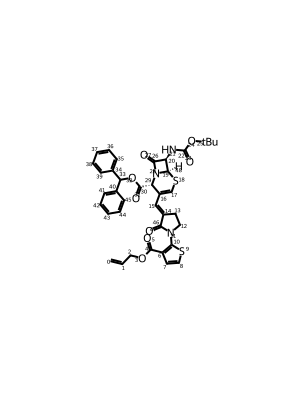 C=CCOC(=O)c1ccsc1N1CC/C(=C\C2=CS[C@@H]3[C@H](NC(=O)OC(C)(C)C)C(=O)N3[C@H]2C(=O)OC(c2ccccc2)c2ccccc2)C1=O